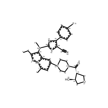 CCc1nn2c(C)cc(N3CCN(C(=O)[C@@H]4COC[C@H]4O)CC3)cc2c1N(C)c1nc(-c2ccc(F)cc2)c(C#N)s1